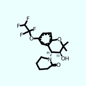 CC1(C)Oc2ccc(OC(F)(F)C(F)F)cc2[C@@H](N2CCCCC2=O)[C@@H]1O